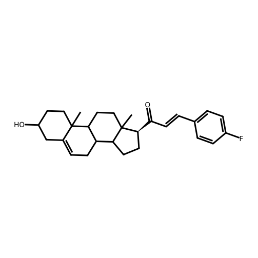 CC12CCC(O)CC1=CCC1C2CCC2(C)C1CC[C@@H]2C(=O)/C=C/c1ccc(F)cc1